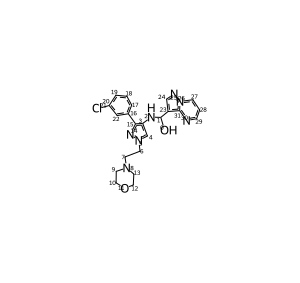 OC(Nc1cn(CCN2CCOCC2)nc1-c1cccc(Cl)c1)c1cnn2cccnc12